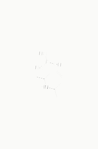 C=C.CC(C)NC(C)C.OP(O)O